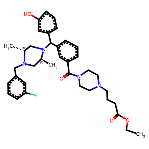 CCOC(=O)CCCN1CCN(C(=O)c2cccc(C(c3cccc(O)c3)N3C[C@@H](C)N(Cc4cccc(F)c4)C[C@@H]3C)c2)CC1